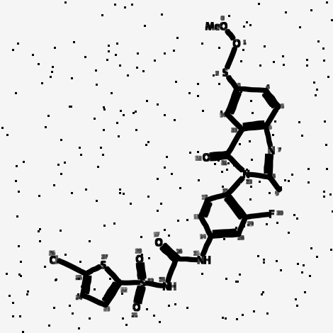 COOSc1ccc2nc(C)n(-c3ccc(NC(=O)NS(=O)(=O)c4ccc(Cl)s4)cc3F)c(=O)c2c1